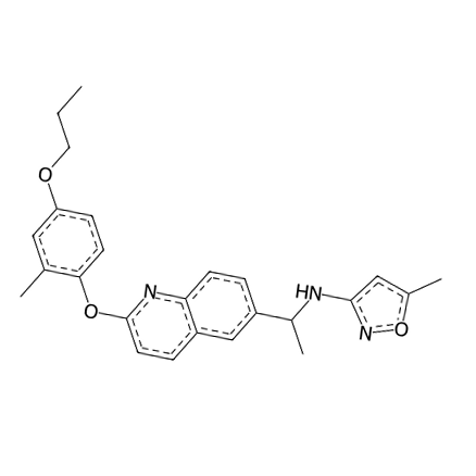 CCCOc1ccc(Oc2ccc3cc(C(C)Nc4cc(C)on4)ccc3n2)c(C)c1